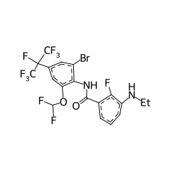 CCNc1cccc(C(=O)Nc2c(Br)cc(C(F)(C(F)(F)F)C(F)(F)F)cc2OC(F)F)c1F